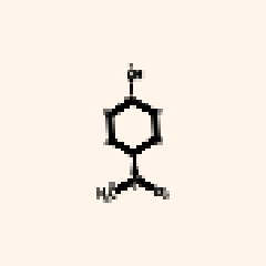 C[S+]([O-])[C@H]1CC[C@H](O)CC1